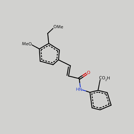 COCc1cc(/C=C/C(=O)Nc2ccccc2C(=O)O)ccc1OC